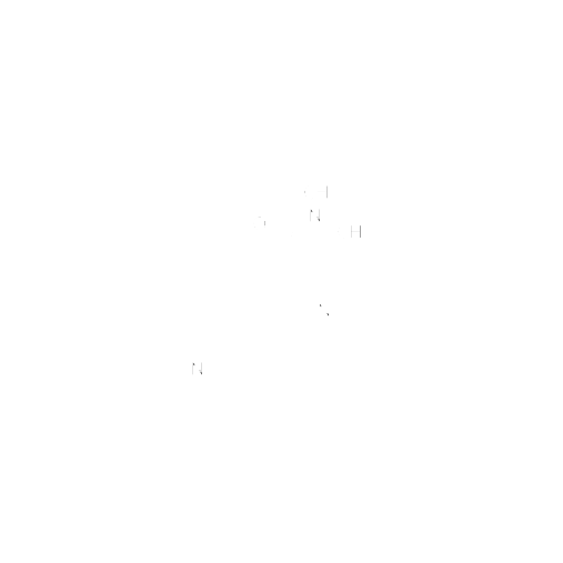 CN(C)C(=O)c1cncc(-c2ccncc2)c1